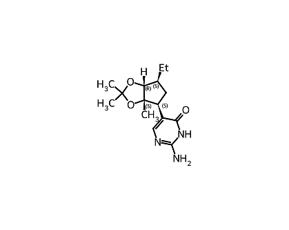 CC[C@H]1C[C@@H](c2cnc(N)[nH]c2=O)[C@]2(C)OC(C)(C)O[C@H]12